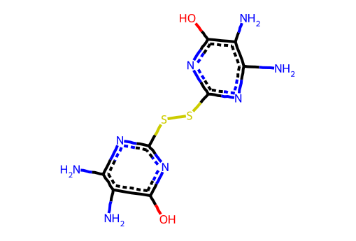 Nc1nc(SSc2nc(N)c(N)c(O)n2)nc(O)c1N